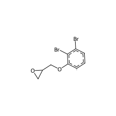 Brc1cc[c]c(OCC2CO2)c1Br